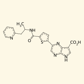 CC(Cc1ccccn1)NC(=O)c1ccc(-c2cnc3[nH]cc(C(=O)O)c3n2)s1